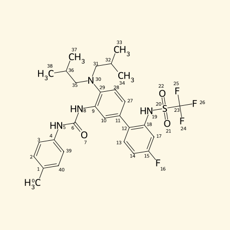 Cc1ccc(NC(=O)Nc2cc(-c3ccc(F)cc3NS(=O)(=O)C(F)(F)F)ccc2N(CC(C)C)CC(C)C)cc1